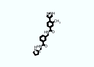 Cc1cc(C(=O)NCc2cccc(C(=O)NC[C@H]3CCCN3)c2)ccc1-c1cn[nH]c1